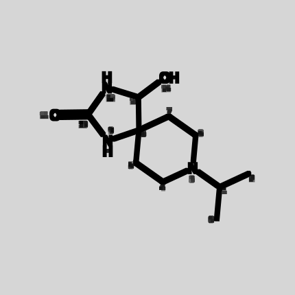 CC(C)N1CCC2(CC1)NC(=O)NC2O